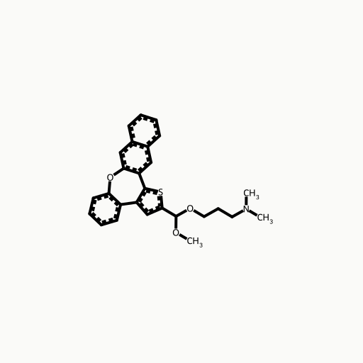 COC(OCCCN(C)C)c1cc2c(s1)-c1cc3ccccc3cc1Oc1ccccc1-2